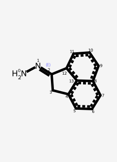 N/N=C1\Cc2cccc3cccc1c23